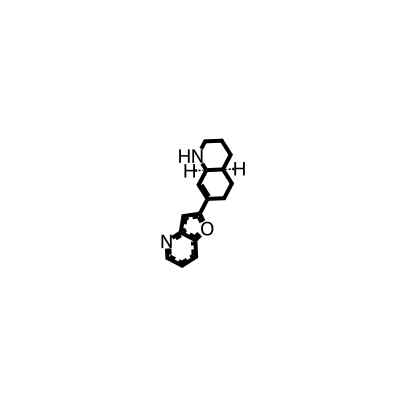 C1=C(c2cc3ncccc3o2)CC[C@@H]2CCCN[C@H]12